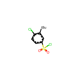 CC(C)(C)c1cc(S(=O)(=O)Cl)ccc1Cl